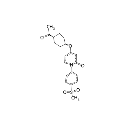 CC(=O)[C@H]1CC[C@@H](Oc2ccn(-c3ccc(S(C)(=O)=O)cc3)c(=O)c2)CC1